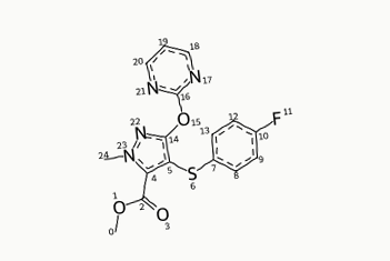 COC(=O)c1c(Sc2ccc(F)cc2)c(Oc2ncccn2)nn1C